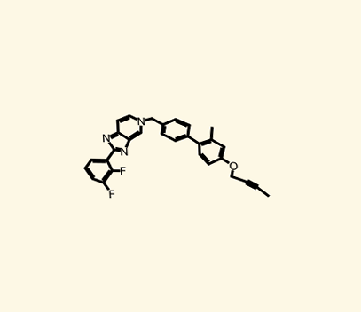 CC#CCOc1ccc(-c2ccc(Cn3ccc4nc(-c5cccc(F)c5F)nc-4c3)cc2)c(C)c1